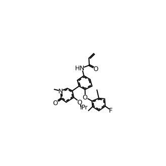 C=CC(=O)Nc1ccc(Oc2c(C)cc(F)cc2C)c(-c2cn(C)c(=O)cc2OC(C)C)c1